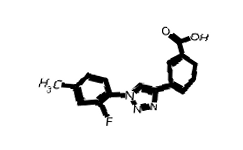 Cc1ccc(-n2cc(C3=CCCC(C(=O)O)=C3)nn2)c(F)c1